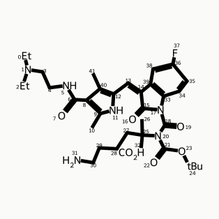 CCN(CC)CCNC(=O)c1c(C)[nH]c(C=C2C(=O)N(C(=O)N(C(=O)OC(C)(C)C)C(C)(CCCCN)C(=O)O)c3ccc(F)cc32)c1C